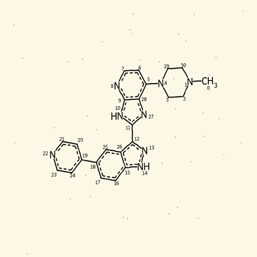 CN1CCN(c2ccnc3[nH]c(-c4n[nH]c5ccc(-c6ccncc6)cc45)nc23)CC1